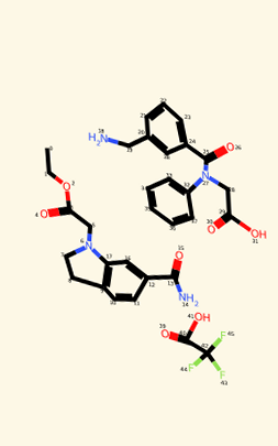 CCOC(=O)CN1CCc2ccc(C(N)=O)cc21.NCc1cccc(C(=O)N(CC(=O)O)c2ccccc2)c1.O=C(O)C(F)(F)F